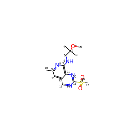 COC(C)(C)CNc1nc(C)cc2cnc(S(C)(=O)=O)nc12